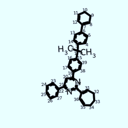 CC(C)(c1ccc(C2=CCCC=C2)cc1)c1ccc(-c2cc(-c3ccccc3)nc(C3=CCCCC=C3)n2)cc1